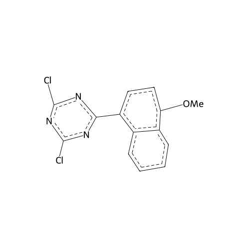 COc1ccc(-c2nc(Cl)nc(Cl)n2)c2ccccc12